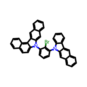 Brc1c(-n2c3ccccc3c3cc4ccccc4cc32)cccc1-n1c2cc3ccccc3cc2c2c3ccccc3ccc21